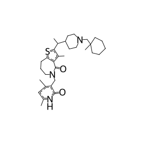 Cc1cc(C)c(CN2CCCc3sc(C(C)C4CCN(CC5(C)CCCCC5)CC4)c(C)c3C2=O)c(=O)[nH]1